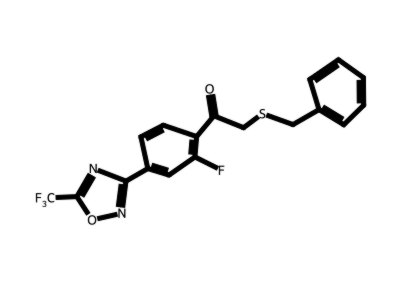 O=C(CSCc1ccccc1)c1ccc(-c2noc(C(F)(F)F)n2)cc1F